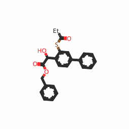 CCC(=O)Sc1cc(-c2ccccc2)ccc1C(O)C(=O)OCc1ccccc1